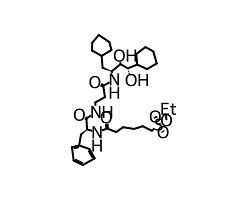 CCOS(=O)(=O)CCCCCC(=O)N[C@@H](Cc1ccccc1)C(=O)NCCC(=O)N[C@@H](CC1CCCCC1)[C@@H](O)[C@@H](O)C1CCCCC1